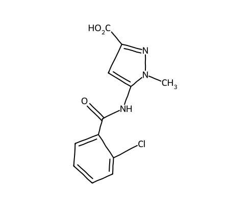 Cn1nc(C(=O)O)cc1NC(=O)c1ccccc1Cl